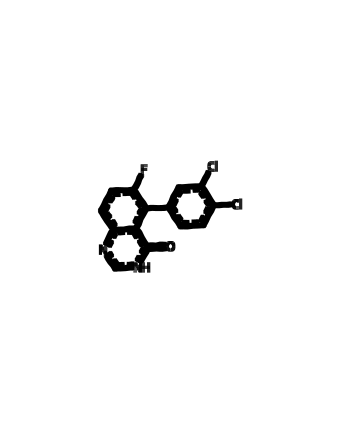 O=c1[nH]cnc2ccc(F)c(-c3ccc(Cl)c(Cl)c3)c12